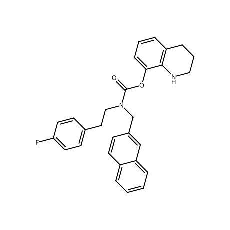 O=C(Oc1cccc2c1NCCC2)N(CCc1ccc(F)cc1)Cc1ccc2ccccc2c1